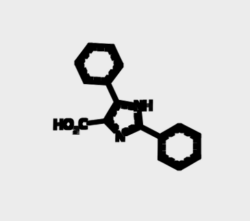 O=C(O)c1nc(-c2ccccc2)[nH]c1-c1ccccc1